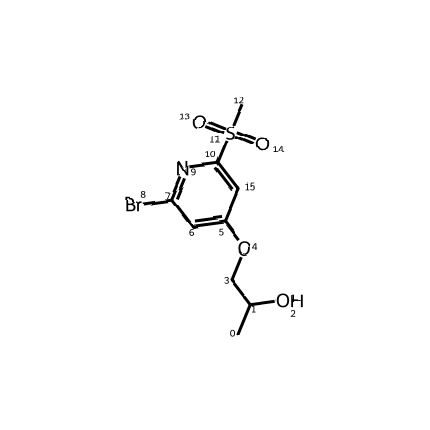 CC(O)COc1cc(Br)nc(S(C)(=O)=O)c1